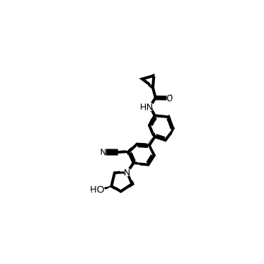 N#Cc1cc(-c2cccc(NC(=O)C3CC3)c2)ccc1N1CC[C@@H](O)C1